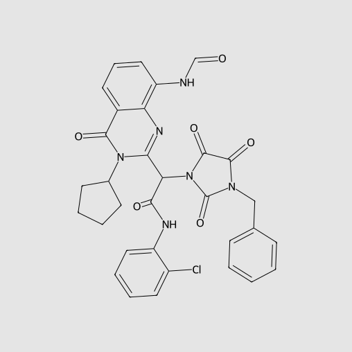 O=CNc1cccc2c(=O)n(C3CCCC3)c(C(C(=O)Nc3ccccc3Cl)N3C(=O)C(=O)N(Cc4ccccc4)C3=O)nc12